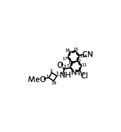 CO[C@H]1C[C@H](NC(=O)c2nc(Cl)cc3c(C#N)cccc23)C1